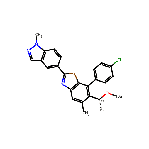 CC(=O)[C@@H](OC(C)(C)C)c1c(C)cc2nc(-c3ccc4c(cnn4C)c3)sc2c1-c1ccc(Cl)cc1